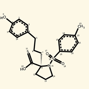 COc1ccc(CCC[C@@]2(C(O)=S)CCCN2S(=O)(=O)c2ccc(C)cc2)cc1